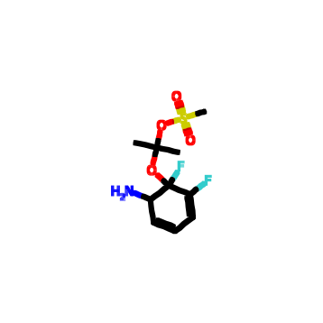 CC(C)(OC1(F)C(F)=CC=CC1N)OS(C)(=O)=O